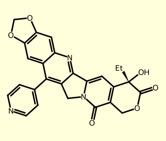 CC[C@@]1(O)C(=O)OCc2c1cc1n(c2=O)Cc2c-1nc1cc3c(cc1c2-c1ccncc1)OCO3